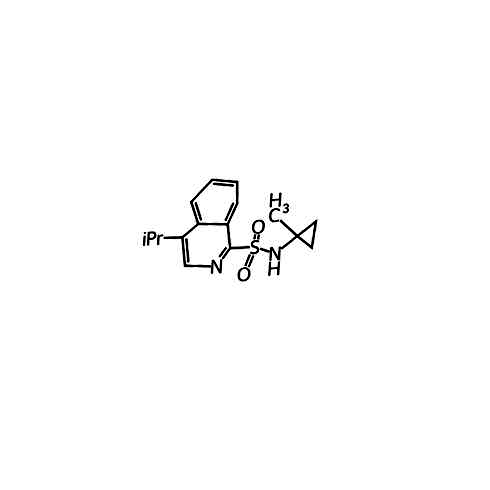 CC(C)c1cnc(S(=O)(=O)NC2(C)CC2)c2ccccc12